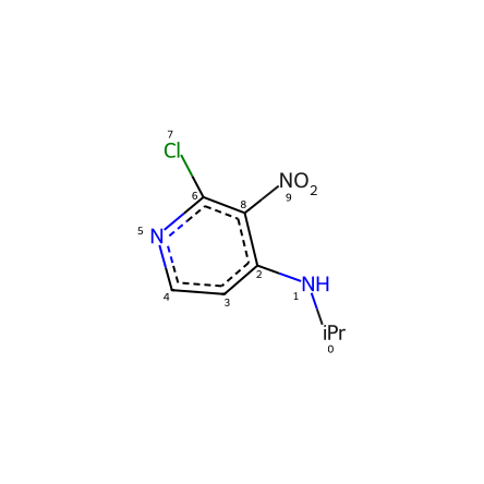 CC(C)Nc1ccnc(Cl)c1[N+](=O)[O-]